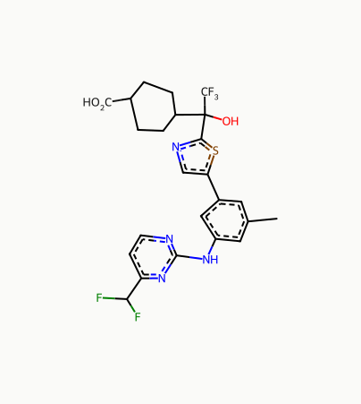 Cc1cc(Nc2nccc(C(F)F)n2)cc(-c2cnc(C(O)(C3CCC(C(=O)O)CC3)C(F)(F)F)s2)c1